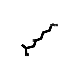 CCCCCCCCNCC(C)C#N